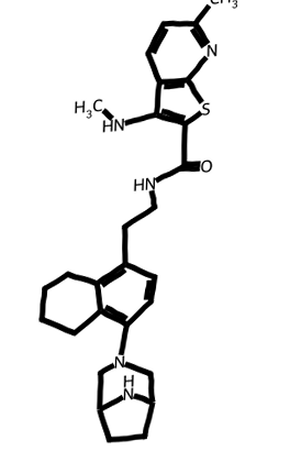 CNc1c(C(=O)NCCc2ccc(N3CC4CCC(C3)N4)c3c2CCCC3)sc2nc(C)ccc12